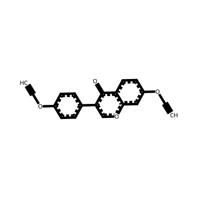 C#COc1ccc(-c2coc3cc(OC#C)ccc3c2=O)cc1